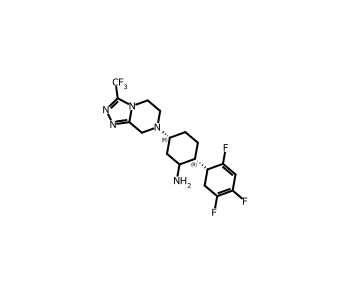 NC1C[C@H](N2CCn3c(nnc3C(F)(F)F)C2)CC[C@@H]1C1CC(F)=C(F)C=C1F